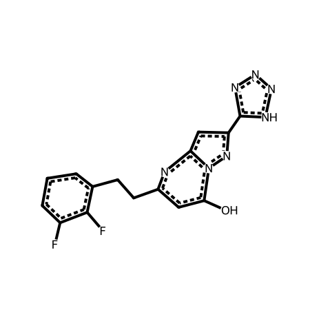 Oc1cc(CCc2cccc(F)c2F)nc2cc(-c3nnn[nH]3)nn12